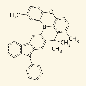 Cc1ccc2c(c1)B1c3cc4c5ccccc5n(-c5ccccc5)c4cc3C(C)(C)c3c(C)ccc(c31)O2